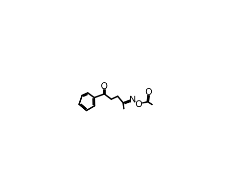 CC(=O)O/N=C(\C)CCC(=O)c1ccccc1